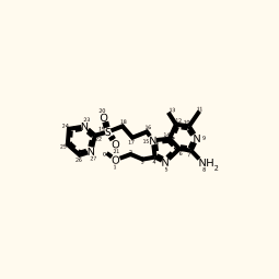 COCCc1nc2c(N)nc(C)c(C)c2n1CCCS(=O)(=O)c1ncccn1